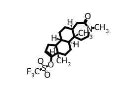 CN1CC[C@@]2(C)[C@@H](CC[C@@H]3[C@@H]2CC[C@]2(C)C(OS(=O)(=O)C(F)(F)F)=CC[C@@H]32)CC1=O